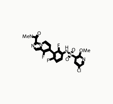 CNC(=O)c1ncc2c(F)c(-c3c(F)ccc(NS(=O)(=O)c4cc(Cl)cnc4OC)c3F)ccn12